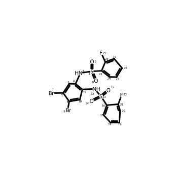 O=S(=O)(Nc1cc(Br)c(Br)cc1NS(=O)(=O)c1ccccc1F)c1ccccc1F